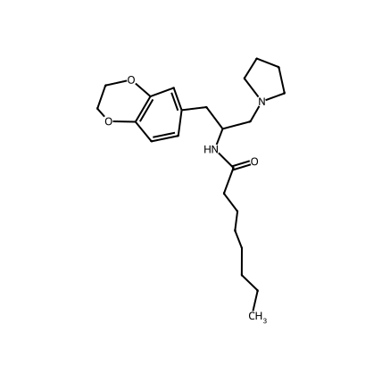 CCCCCCCC(=O)NC(Cc1ccc2c(c1)OCCO2)CN1CCCC1